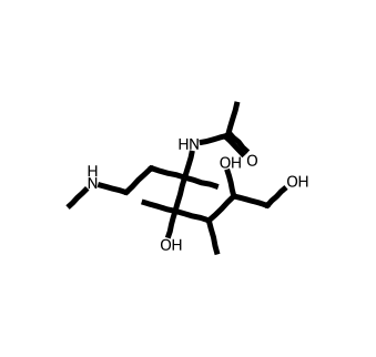 CNCCC(C)(NC(C)=O)C(C)(O)C(C)C(O)CO